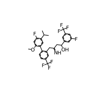 COc1cc(F)c(C(C)C)cc1-c1ccc(C(F)(F)F)cc1CC(=N)CC(O)c1cc(F)cc(C(F)(F)F)c1